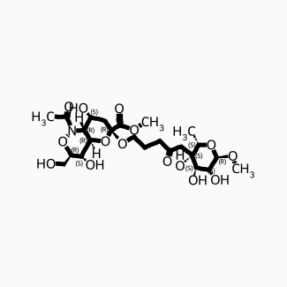 COC(=O)[C@@]1(OCCCC(=O)C[C@@]2(O)[C@H](C)O[C@@H](OC)[C@@H](O)[C@@H]2O)C[C@H](O)[C@@H]2[C@@H](O1)[C@H](O)[C@@H](CO)ON2C(C)=O